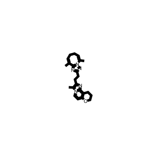 C/C1=C/CC/C=C(/C)n2nc(CCc3nc4c5c(ccn4c3C)OCCC5)nc21